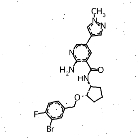 Cn1cc(-c2cnc(N)c(C(=O)N[C@H]3CCC[C@@H]3OCc3ccc(F)c(Br)c3)c2)cn1